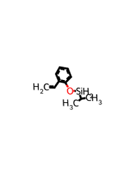 C=Cc1ccccc1O[SiH2]C(C)C